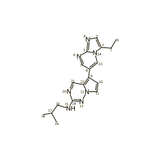 CCc1cnc2ncc(-c3ccn4nc(NCC(C)C)ncc34)cn12